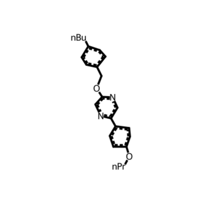 CCCCc1ccc(COc2cnc(-c3ccc(OCCC)cc3)cn2)cc1